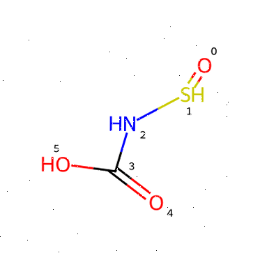 O=[SH]NC(=O)O